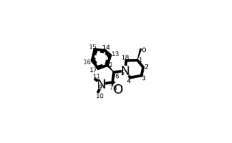 C[C@H]1CCCN([C@@H](C(=O)N(C)C)c2ccccc2)C1